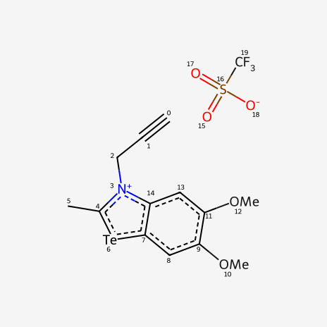 C#CC[n+]1c(C)[te]c2cc(OC)c(OC)cc21.O=S(=O)([O-])C(F)(F)F